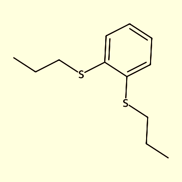 CCCSc1ccccc1SCCC